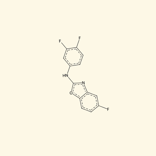 Fc1ccc2oc(Nc3ccc(F)c(F)c3)nc2c1